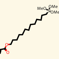 C=CC(=O)OCCCCCCCCCCCCC[Si](OC)(OC)OC